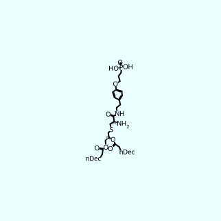 CCCCCCCCCCCC(=O)OC[C@@H](CSC[C@H](N)C(=O)NCCc1ccc(OCCCP(=O)(O)O)cc1)OC(=O)CCCCCCCCCCC